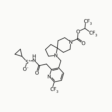 O=C(Cc1nc(C(F)(F)F)ccc1CN1CCCC12CCN(C(=O)OC(C(F)(F)F)C(F)(F)F)CC2)N[S+]([O-])C1CC1